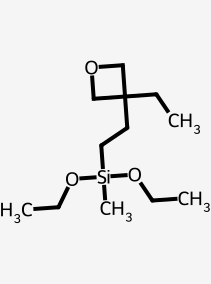 CCO[Si](C)(CCC1(CC)COC1)OCC